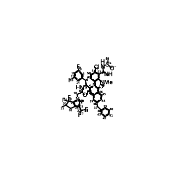 CNc1c(-n2c(C(Cc3cc(F)cc(F)c3)NC(=O)Cn3nc(C(F)F)c4c3C(F)(F)C(C)C4)nc3cc(Cc4ccccc4)ccc3c2=O)ccc(Cl)c1C(=N)N[S+](C)[O-]